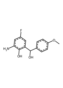 COc1ccc(C(O)c2cc(F)cc(N)c2O)cc1